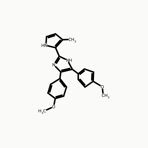 COc1ccc(-c2nc(-c3[nH]ccc3C)[nH]c2-c2ccc(OC)cc2)cc1